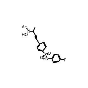 CC(=O)N(O)C(C)C#Cc1ccc(S(=O)(=O)Nc2ccc(F)cc2)cc1